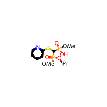 COP(=O)(O)C(Sc1ccccn1)P(=O)(OC)OC(C)C